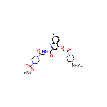 CCCCOC(=O)N1CCN(C(=O)CNC(=O)c2cc(OCC(=O)N3CCC(NC(C)=O)CC3)c3ccc(C)cc3n2)CC1